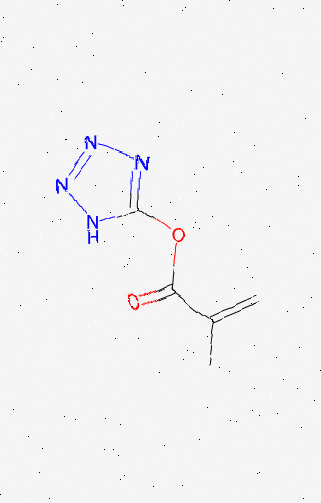 C=C(C)C(=O)Oc1nnn[nH]1